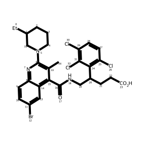 CCC1CCCN(c2nc3ccc(Br)cc3c(C(=O)NCC(CCC(=O)O)c3c(Cl)ccc(Cl)c3Cl)c2C)C1